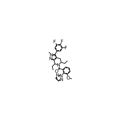 CCC1Cc2c(nn(C)c2-c2cc(F)c(F)c(F)c2)C(CC)N1C(=O)c1cccc(OC)c1-n1nccn1